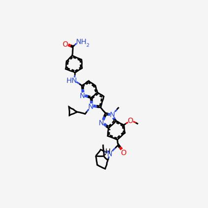 COc1cc(C(=O)N2CC3CCC2[C@@H]3C)cc2nc(-c3cc4ccc(Nc5ccc(C(N)=O)cc5)nc4n3CC3CC3)n(C)c12